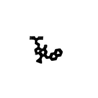 O=c1cc(Cc2ccc3ccccc3c2)c(C2CC2)c2n1C(CCB(O)O)CS2